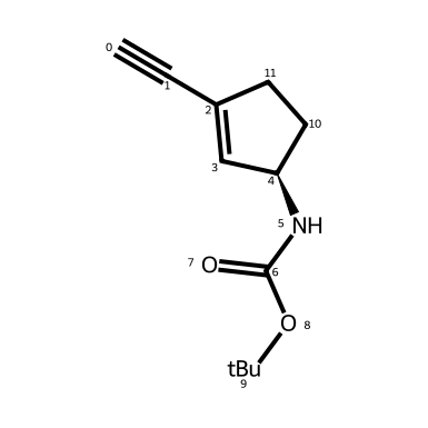 C#CC1=C[C@H](NC(=O)OC(C)(C)C)CC1